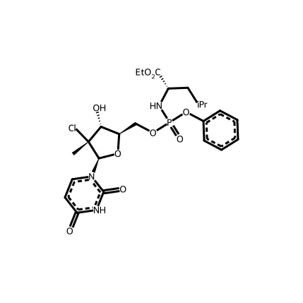 CCOC(=O)[C@H](CC(C)C)NP(=O)(OC[C@H]1O[C@@H](n2ccc(=O)[nH]c2=O)[C@](C)(Cl)[C@@H]1O)Oc1ccccc1